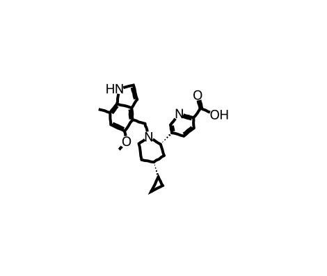 COc1cc(C)c2[nH]ccc2c1CN1CC[C@@H](C2CC2)C[C@H]1c1ccc(C(=O)O)nc1